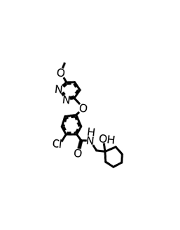 COc1ccc(Oc2ccc(Cl)c(C(=O)NCC3(O)CCCCC3)c2)nn1